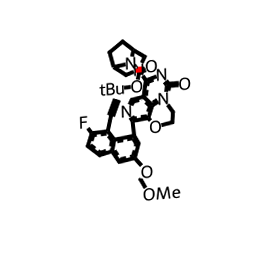 C#Cc1c(F)ccc2cc(OCOC)cc(-c3ncc4c(N5CC6CCC(C5)N6C(=O)OC(C)(C)C)nc(=O)n5c4c3OCC5)c12